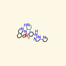 Cc1cccc2ccnc(N(C(=O)c3ccc(Nc4nccc(-c5ccccn5)n4)cc3F)[C@@H]3CCCNC3)c12